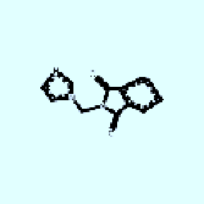 O=C1c2ccccc2C(=O)N1Cn1ccnc1